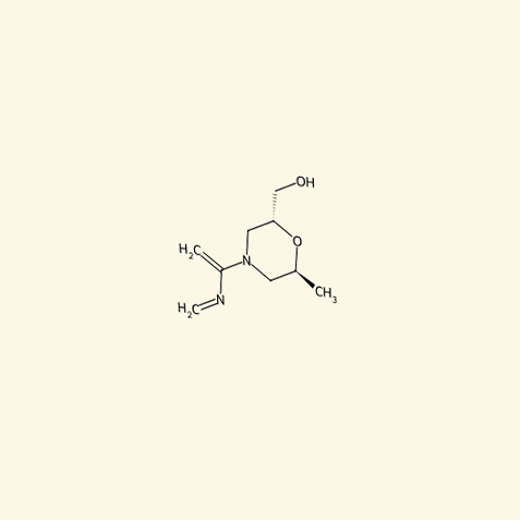 C=NC(=C)N1C[C@H](CO)O[C@@H](C)C1